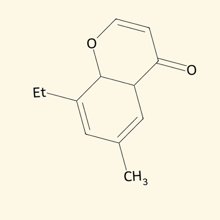 CCC1=CC(C)=CC2C(=O)C=COC12